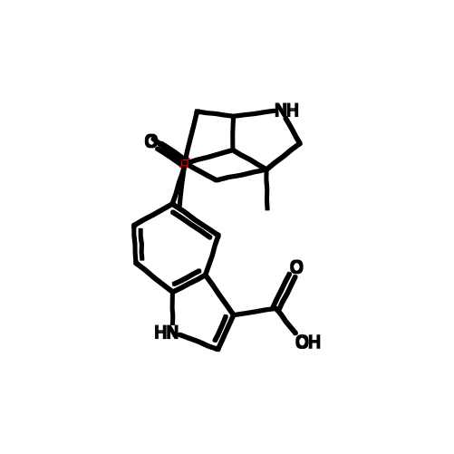 CC1(C)CC2NCC(C)(C1)C2C(=O)c1ccc2[nH]cc(C(=O)O)c2c1